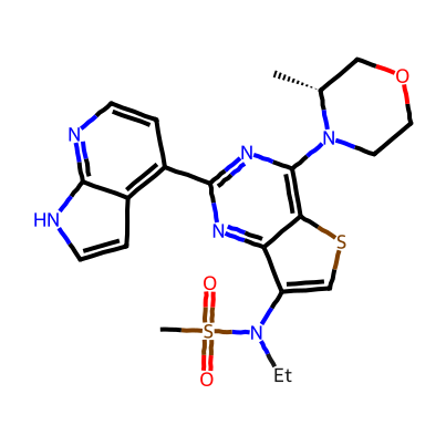 CCN(c1csc2c(N3CCOC[C@H]3C)nc(-c3ccnc4[nH]ccc34)nc12)S(C)(=O)=O